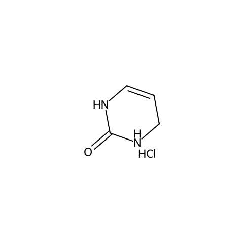 Cl.O=C1NC=CCN1